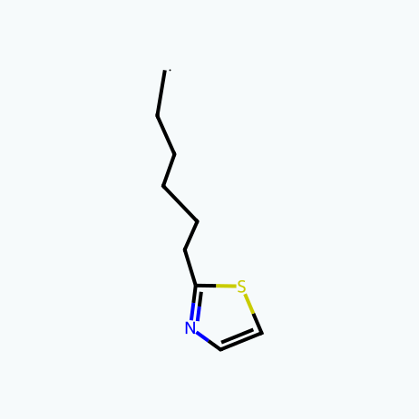 [CH2]CCCCCc1nccs1